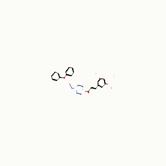 COc1cc(C=CC(=O)N2CCN(CCOC(c3ccccc3)c3ccccc3)CC2)cc(OC)c1O